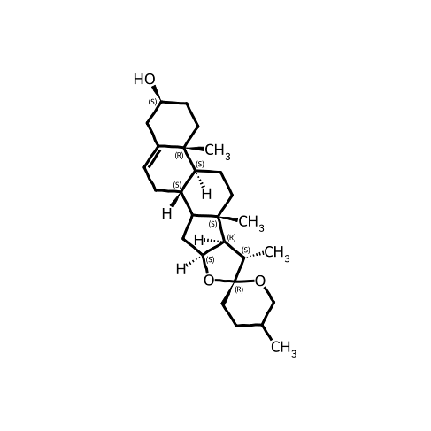 CC1CC[C@@]2(OC1)O[C@H]1CC3[C@@H]4CC=C5C[C@@H](O)CC[C@]5(C)[C@H]4CC[C@]3(C)[C@H]1[C@@H]2C